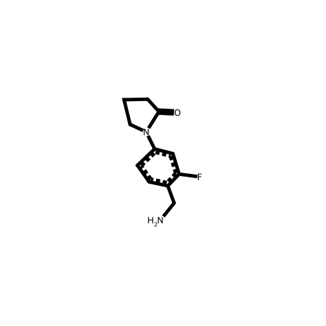 NCc1ccc(N2CCCC2=O)cc1F